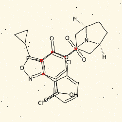 O=C(O)c1cc(F)cc(S(=O)(=O)N2[C@@H]3CC[C@H]2CC(OC(=O)c2c(-c4c(Cl)cccc4Cl)noc2C2CC2)C3)c1